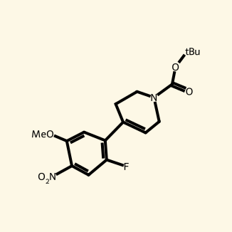 COc1cc(C2=CCN(C(=O)OC(C)(C)C)CC2)c(F)cc1[N+](=O)[O-]